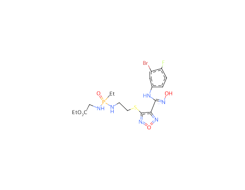 CCOC(=O)CNP(=O)(CC)NCCSc1nonc1/C(=N/O)Nc1ccc(F)c(Br)c1